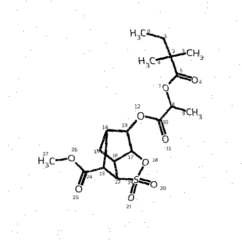 CCC(C)(C)C(=O)OC(C)C(=O)OC1C2CC3C1OS(=O)(=O)C3C2C(=O)OC